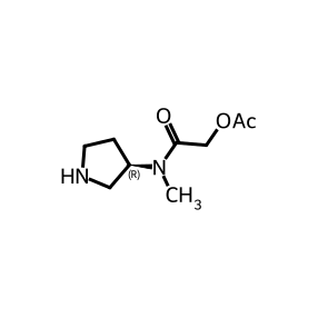 CC(=O)OCC(=O)N(C)[C@@H]1CCNC1